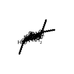 CCCCCCCCCCCCNS(=O)(=O)c1cc(N)c2c(c1)nc1c3ccc4c5c(N)cc6c(=O)n7c(nc8cc(S(=O)(=O)N(CCCCCCCCCCCC)CCCCCCCCCCCC)cc([N+](=O)[O-])c87)c7ccc(c8c([N+](=O)[O-])cc(c(=O)n12)c3c48)c5c67